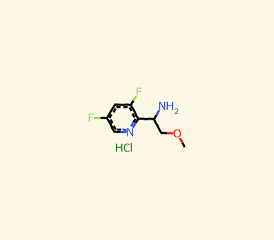 COCC(N)c1ncc(F)cc1F.Cl